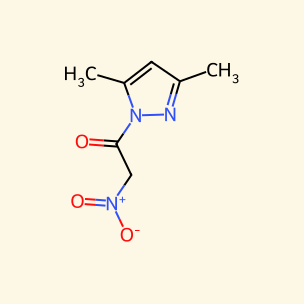 Cc1cc(C)n(C(=O)C[N+](=O)[O-])n1